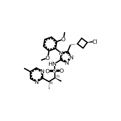 COc1cccc(OC)c1-n1c(C[C@H]2C[C@H](Cl)C2)nnc1NS(=O)(=O)[C@@H](C)[C@H](C)c1ncc(C)cn1